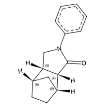 O=C1[C@@H]2[C@@H]3CC[C@@H](C3)[C@@H]2CN1c1ccccc1